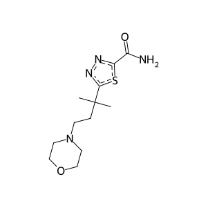 CC(C)(CCN1CCOCC1)c1nnc(C(N)=O)s1